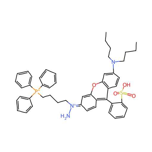 CCCCN(CCCC)c1ccc2c(-c3ccccc3S(=O)(=O)O)c3cc/c(=[N+](\N)CCCC[P+](c4ccccc4)(c4ccccc4)c4ccccc4)cc-3oc2c1